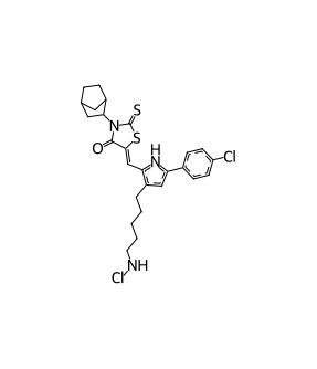 O=C1/C(=C/c2[nH]c(-c3ccc(Cl)cc3)cc2CCCCCNCl)SC(=S)N1C1CC2CCC1C2